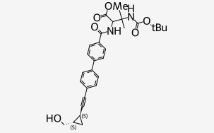 COC(=O)C(NC(=O)c1ccc(-c2ccc(C#C[C@H]3C[C@@H]3CO)cc2)cc1)C(C)(C)NC(=O)OC(C)(C)C